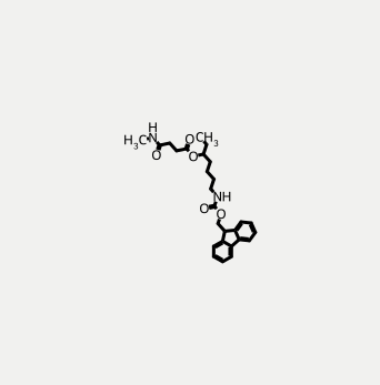 CCC(CCCCNC(=O)OCC1c2ccccc2-c2ccccc21)OC(=O)CCC(=O)NC